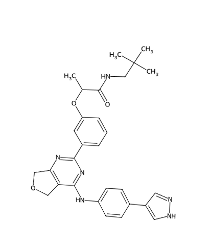 CC(Oc1cccc(-c2nc3c(c(Nc4ccc(-c5cn[nH]c5)cc4)n2)COC3)c1)C(=O)NCC(C)(C)C